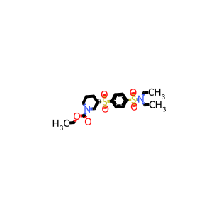 CCOC(=O)N1CCC[C@H](S(=O)(=O)c2ccc(S(=O)(=O)N(CC)CC)cc2)C1